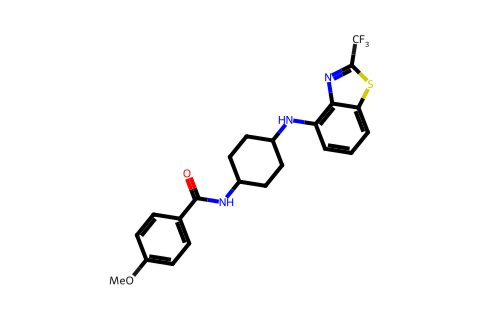 COc1ccc(C(=O)NC2CCC(Nc3cccc4sc(C(F)(F)F)nc34)CC2)cc1